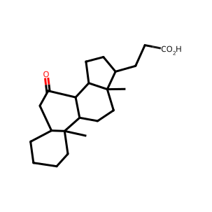 CC12CCC3C(C(=O)CC4CCCCC43C)C1CCC2CCC(=O)O